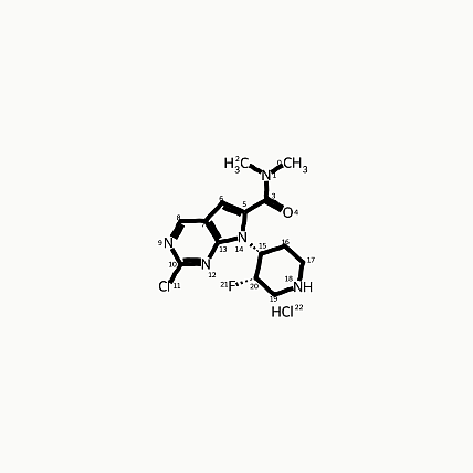 CN(C)C(=O)c1cc2cnc(Cl)nc2n1[C@@H]1CCNC[C@@H]1F.Cl